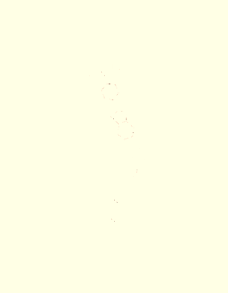 CN(C)c1ccc(-c2nc3ccc(O[C@H]4C[C@H](OCCCN5CCNCC5)C4)cc3s2)cc1